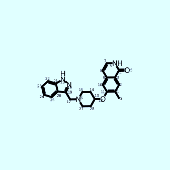 Cc1cc2c(=O)[nH]ccc2cc1OC1CCN(Cc2n[nH]c3ccccc23)CC1